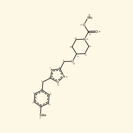 CSc1ccc(Cc2nc(COC3CCN(C(=O)OC(C)(C)C)CC3)no2)cc1